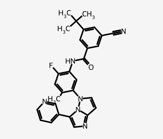 Cc1cc(F)c(NC(=O)c2cc(C#N)cc(C(C)(C)C)c2)cc1-n1ccc2ncc(-c3cccnc3)n21